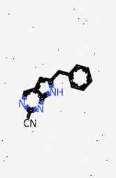 N#Cc1ncc2cc(Cc3ccccc3)[nH]c2n1